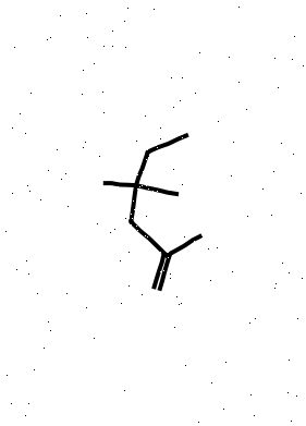 C=C(C)CC(C)(C)CC